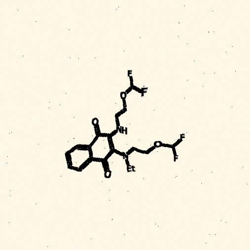 CCN(CCOC(F)F)C1=C(NCCOC(F)F)C(=O)c2ccccc2C1=O